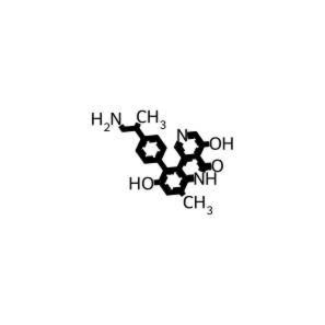 Cc1cc(O)c(-c2ccc(C(C)CN)cc2)c2c1[nH]c(=O)c1c(O)cncc12